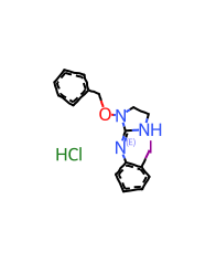 Cl.Ic1ccccc1/N=C1\NCCN1OCc1ccccc1